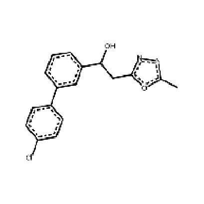 Cc1nnc(CC(O)c2cccc(-c3ccc(Cl)cc3)c2)o1